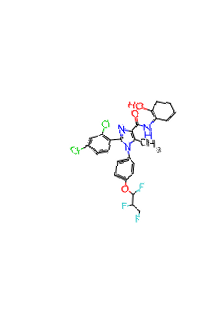 Cc1c(C(=O)NC2CCCCC2O)nc(-c2ccc(Cl)cc2Cl)n1-c1ccc(OC(F)C(F)CF)cc1